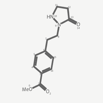 COC(=O)c1ccc(CCN2NCCC2=O)cc1